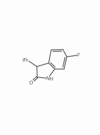 CC(C)C1C(=O)Nc2cc(F)ccc21